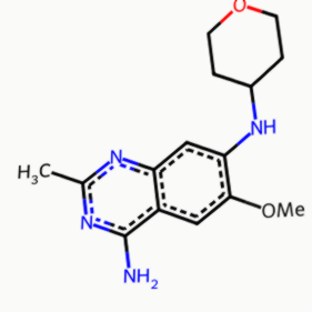 COc1cc2c(N)nc(C)nc2cc1NC1CCOCC1